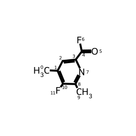 Cc1cc(C(=O)F)nc(C)c1F